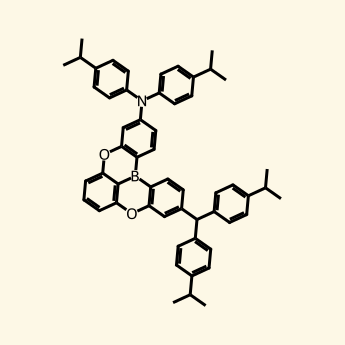 CC(C)c1ccc(C(c2ccc(C(C)C)cc2)c2ccc3c(c2)Oc2cccc4c2B3c2ccc(N(c3ccc(C(C)C)cc3)c3ccc(C(C)C)cc3)cc2O4)cc1